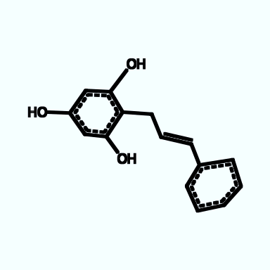 Oc1cc(O)c(C/C=C/c2ccccc2)c(O)c1